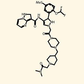 CSc1ccc(OC(F)F)c(C2NN(CC(=O)N3CCN(CC4CCN(CC(=O)N(C)C)CC4)CC3)C=C2NC(=O)C2=C3N=CC=CN3NC2)c1